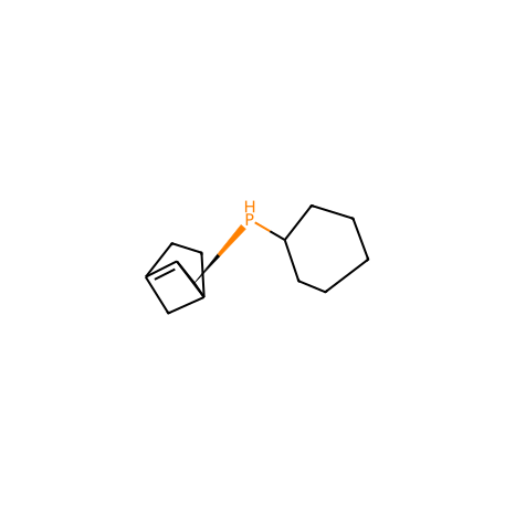 C1CCC(P[C@H]2C3=C4CCC32C4)CC1